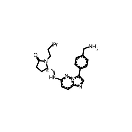 CC(C)CCN1C(=O)CC[C@H]1CNc1ccc2ncc(-c3ccc(CN)cc3)n2n1